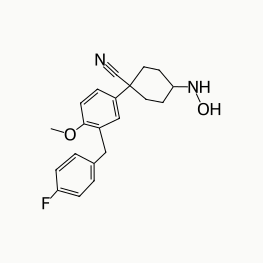 COc1ccc(C2(C#N)CCC(NO)CC2)cc1Cc1ccc(F)cc1